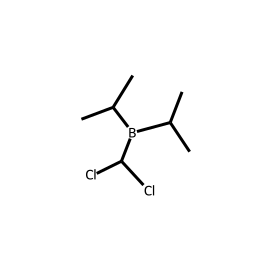 CC(C)B(C(C)C)C(Cl)Cl